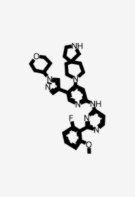 COc1cccc(F)c1-c1nccc(Nc2cc(N3CCC4(CCNC4)CC3)c(-c3cnn(C4CCOCC4)c3)cn2)n1